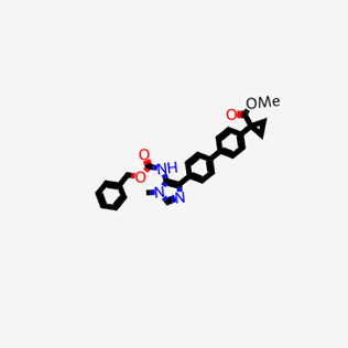 COC(=O)C1(c2ccc(-c3ccc(-c4ncn(C)c4NC(=O)OCc4ccccc4)cc3)cc2)CC1